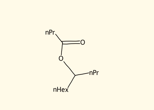 CCCCCCC(CCC)OC(=O)CCC